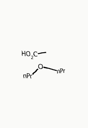 CC(=O)O.CCCOCCC